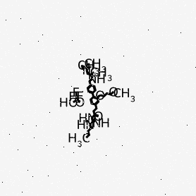 CCCCNC(=N)NC(=O)CCc1ccc(-c2ccc(CNC(C)CN(CC)CC)cc2)c(OCCCOC)c1.O=C(O)C(F)(F)F